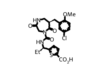 CC[C@@H](NC(=O)N1CC(=O)NC[C@@H](Cc2cc(Cl)ccc2OC)C1=O)c1ccc(C(=O)O)s1